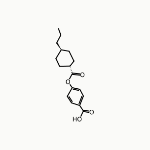 CCC[C@H]1CC[C@H](C(=O)Oc2ccc(C(=O)O)cc2)CC1